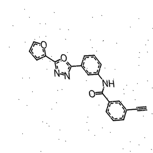 C#Cc1cccc(C(=O)Nc2cccc(-c3nnc(-c4ccco4)o3)c2)c1